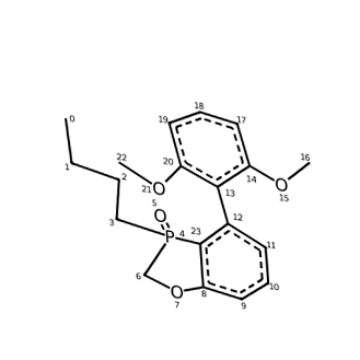 CCCCP1(=O)COc2cccc(-c3c(OC)cccc3OC)c21